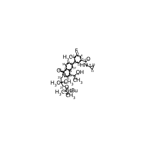 Cc1c(F)cc(C(=O)NC2CC2)cc1-c1ccc2c(=O)n(CC(C)(C)CO[Si](C)(C)C(C)(C)C)cc(C(C)O)c2c1